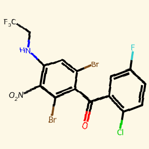 O=C(c1cc(F)ccc1Cl)c1c(Br)cc(NCC(F)(F)F)c([N+](=O)[O-])c1Br